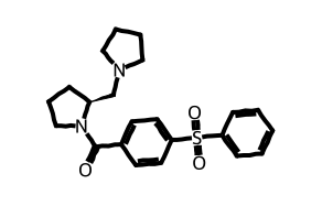 O=C(c1ccc(S(=O)(=O)c2ccccc2)cc1)N1CCC[C@H]1CN1CCCC1